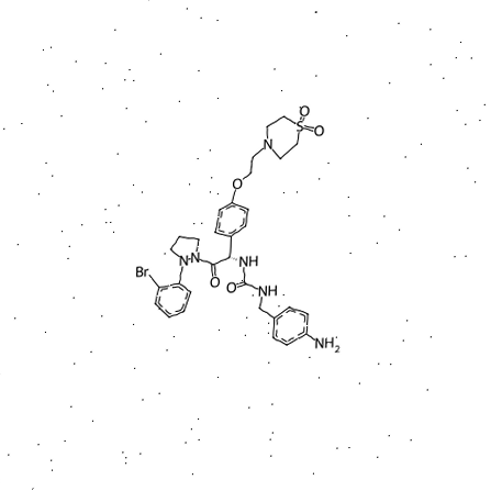 Nc1ccc(CNC(=O)N[C@H](C(=O)N2CCCN2c2ccccc2Br)c2ccc(OCCN3CCS(=O)(=O)CC3)cc2)cc1